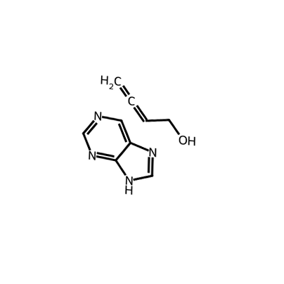 C=C=CCO.c1ncc2nc[nH]c2n1